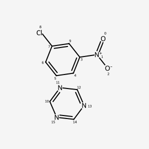 O=[N+]([O-])c1cccc(Cl)c1.c1ncncn1